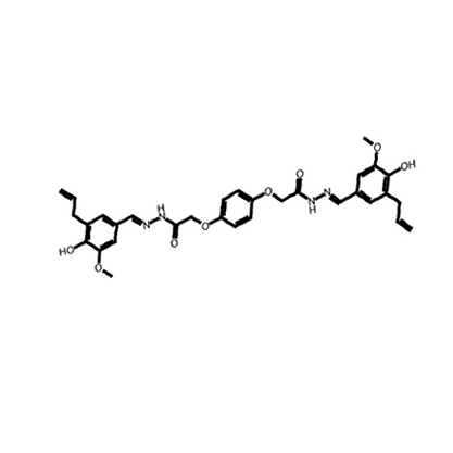 C=CCc1cc(C=NNC(=O)COc2ccc(OCC(=O)NN=Cc3cc(CC=C)c(O)c(OC)c3)cc2)cc(OC)c1O